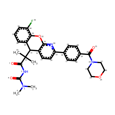 CN(C)C(=O)NC(=O)C(C)(C)C1c2ccc(-c3ccc(C(=O)N4CCOCC4)cc3)nc2Oc2c(F)cccc21